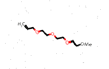 C=CCOCCOCCOCCOC